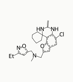 C=C1Nc2c(Cl)cc3cc(CN(C)Cc4cc(CC)no4)oc3c2C2(CCCCC2)N1